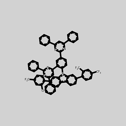 FC(F)(F)c1ccc(-c2ccc3c4ccc(-c5ccc(C(F)(F)F)cc5C(F)(F)F)cc4n(-c4ccc(-c5nc(-c6ccccc6)cc(-c6ccccc6)n5)cc4-c4cc(-c5ccccc5)nc(-c5ccccc5)n4)c3c2)c(C(F)(F)F)c1